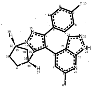 Cc1cc(-c2c(-c3ccc(F)cc3)nn3c2[C@@H]2CC[C@H]3C2)c2cn[nH]c2n1